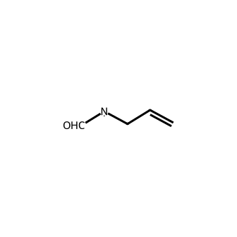 C=CC[N]C=O